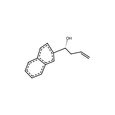 C=CC[C@@H](O)c1ccc2ccccc2c1